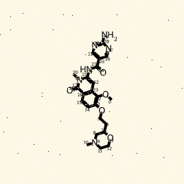 COc1c(OCCC2CN(C)CCO2)ccc2c(=O)n(C)c(NC(=O)c3cnc(N)nc3)cc12